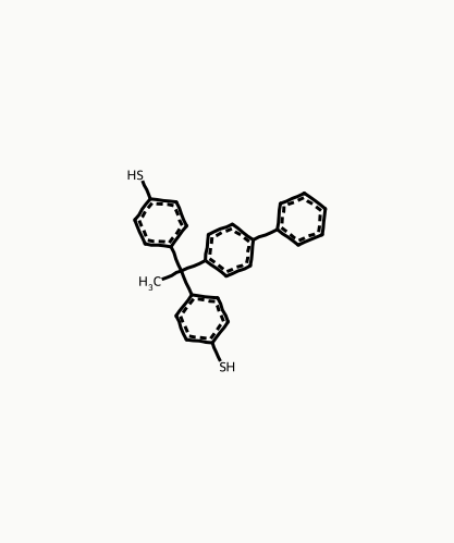 CC(c1ccc(S)cc1)(c1ccc(S)cc1)c1ccc(-c2ccccc2)cc1